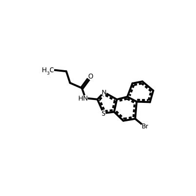 CCCC(=O)Nc1nc2c(cc(Br)c3ccccc32)s1